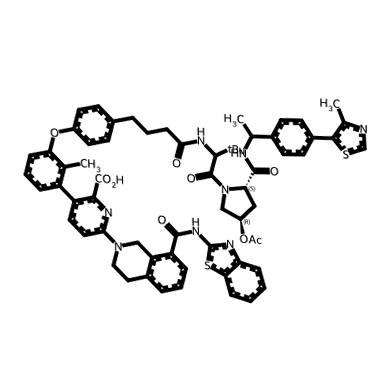 CC(=O)O[C@@H]1C[C@@H](C(=O)NC(C)c2ccc(-c3scnc3C)cc2)N(C(=O)C(NC(=O)CCCc2ccc(Oc3cccc(-c4ccc(N5CCc6cccc(C(=O)Nc7nc8ccccc8s7)c6C5)nc4C(=O)O)c3C)cc2)C(C)(C)C)C1